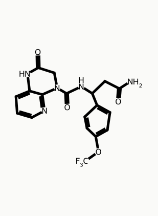 NC(=O)CC(NC(=O)N1CC(=O)Nc2cccnc21)c1ccc(OC(F)(F)F)cc1